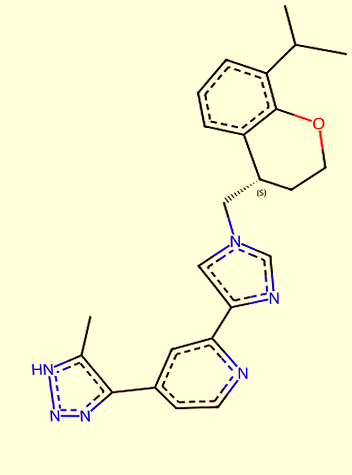 Cc1[nH]nnc1-c1ccnc(-c2cn(C[C@H]3CCOc4c(C(C)C)cccc43)cn2)c1